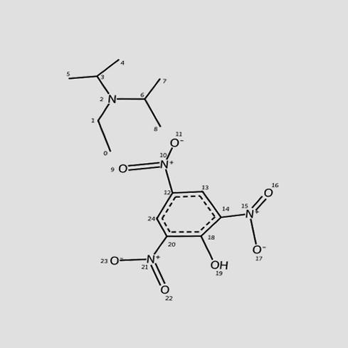 CCN(C(C)C)C(C)C.O=[N+]([O-])c1cc([N+](=O)[O-])c(O)c([N+](=O)[O-])c1